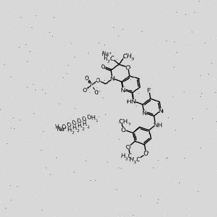 COc1cc(Nc2ncc(F)c(Nc3ccc4c(n3)N(COP(=O)([O-])[O-])C(=O)C(C)(C)O4)n2)cc(OC)c1OC.O.O.O.O.O.O.[Na+].[Na+]